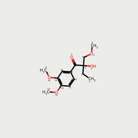 CCC(O)(COC)C(=O)c1ccc(OC)c(OC)c1